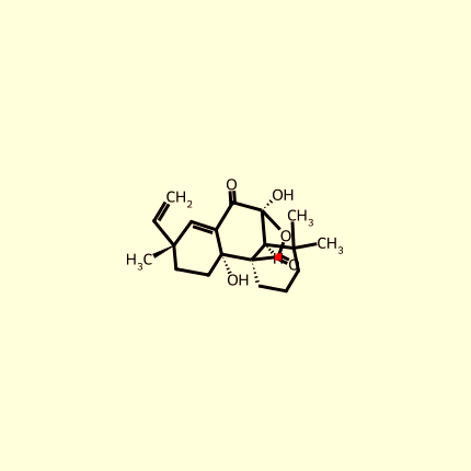 C=C[C@]1(C)C=C2C(=O)[C@@]3(O)OC(=O)[C@@]4(CCCC(C)(C)[C@H]34)[C@@]2(O)CC1